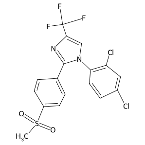 CS(=O)(=O)c1ccc(-c2nc(C(F)(F)F)cn2-c2ccc(Cl)cc2Cl)cc1